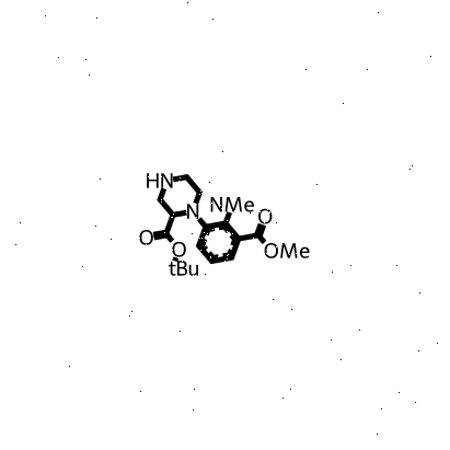 CNc1c(C(=O)OC)cccc1N1CCNCC1C(=O)OC(C)(C)C